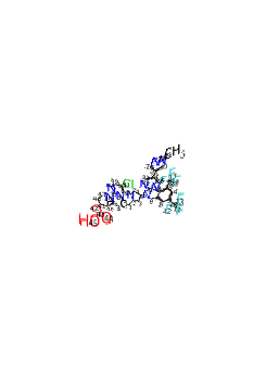 CC[C@@H]1C[C@H](N(Cc2cc(C(F)(F)F)cc(C(F)(F)F)c2)c2ncc(-c3cnn(C)c3)cn2)CN1c1nc(N2CCC(OC(=O)O)CC2)ncc1Cl